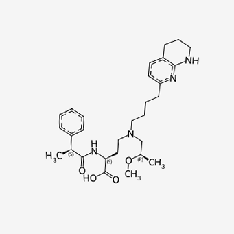 CO[C@H](C)CN(CCCCc1ccc2c(n1)NCCC2)CC[C@H](NC(=O)[C@@H](C)c1ccccc1)C(=O)O